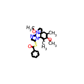 COC1=C(C)CC23C=CC=C[N+]2(OC)c2ncc(SC(=O)c4ccccc4)n2C3=C1C